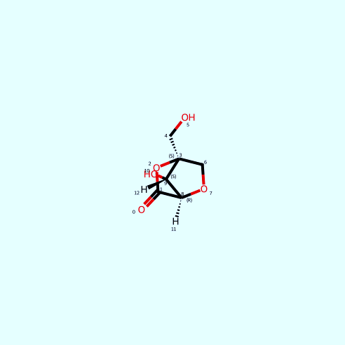 O=C1O[C@@]2(CO)CO[C@@H]1[C@@H]2O